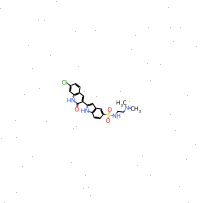 CN(C)CCNS(=O)(=O)c1ccc2[nH]c(-c3cc4ccc(Cl)cc4[nH]c3=O)cc2c1